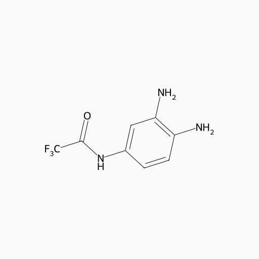 Nc1ccc(NC(=O)C(F)(F)F)cc1N